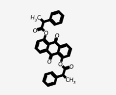 CC(C(=O)Oc1cccc2c1C(=O)c1cccc(OC(=O)C(C)c3ccccc3)c1C2=O)c1ccccc1